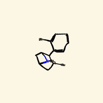 CC(C)c1ccccc1C1C2CC(CC1C(C)(C)C)N2C